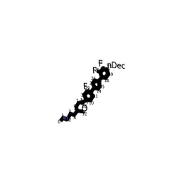 C/C=C/CCC1CCC(c2ccc(-c3ccc(-c4ccc(CCCCCCCCCC)c(F)c4F)cc3)c(F)c2)OC1